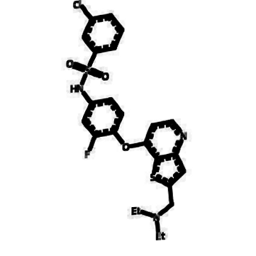 CCN(CC)Cc1cc2nccc(Oc3ccc(NS(=O)(=O)c4cccc(Cl)c4)cc3F)c2s1